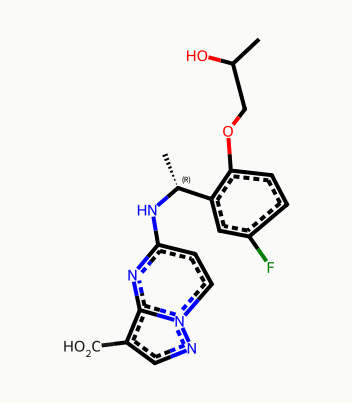 CC(O)COc1ccc(F)cc1[C@@H](C)Nc1ccn2ncc(C(=O)O)c2n1